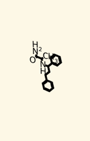 CC(NC(CCc1ccccc1)c1ccccc1)C(N)=O